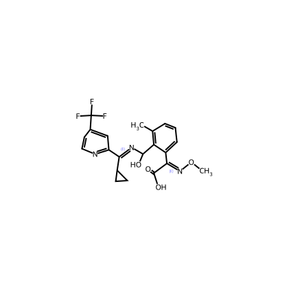 CO/N=C(/C(=O)O)c1cccc(C)c1C(O)/N=C(/c1cc(C(F)(F)F)ccn1)C1CC1